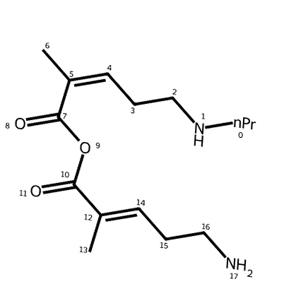 CCCNCCC=C(C)C(=O)OC(=O)C(C)=CCCN